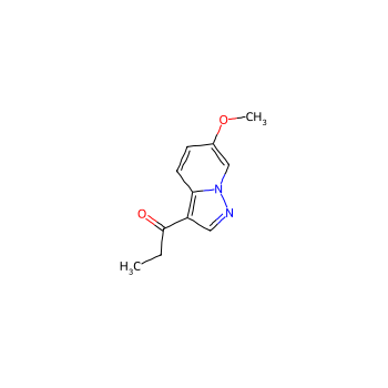 CCC(=O)c1cnn2cc(OC)ccc12